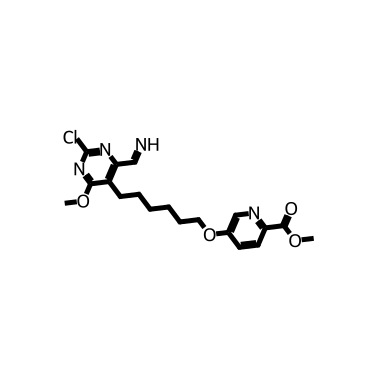 COC(=O)c1ccc(OCCCCCCc2c(C=N)nc(Cl)nc2OC)cn1